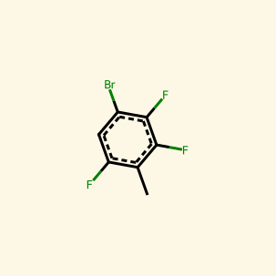 Cc1c(F)cc(Br)c(F)c1F